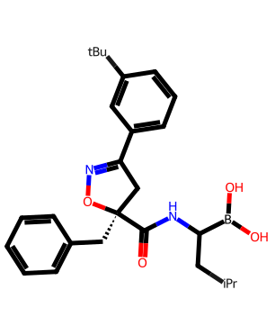 CC(C)CC(NC(=O)[C@]1(Cc2ccccc2)CC(c2cccc(C(C)(C)C)c2)=NO1)B(O)O